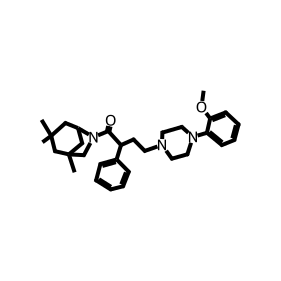 COc1ccccc1N1CCN(CCC(C(=O)N2CC3(C)CC2CC(C)(C)C3)c2ccccc2)CC1